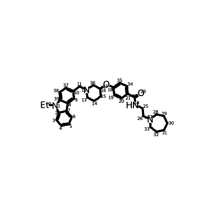 CCn1c2ccccc2c2cc(CN3CCCC(Oc4ccc(C(=O)NCCN5CCCCCC5)cc4)C3)ccc21